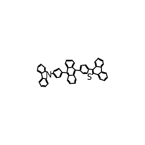 c1ccc2c(-c3ccc4c(c3)sc3c5ccccc5c5ccccc5c43)c3ccccc3c(-c3ccc(-n4c5ccccc5c5ccccc54)cc3)c2c1